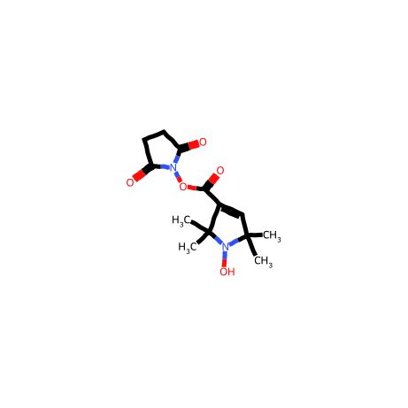 CC1(C)C=C(C(=O)ON2C(=O)CCC2=O)C(C)(C)N1O